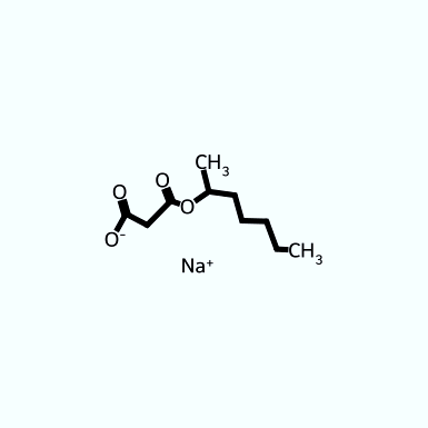 CCCCCC(C)OC(=O)CC(=O)[O-].[Na+]